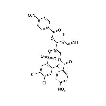 N=C[C@@H](F)C(OC(=O)c1ccc([N+](=O)[O-])cc1)[C@@H](COC(=O)c1ccc([N+](=O)[O-])cc1)OS(=O)(=O)c1cc(Cl)c(Cl)cc1Cl